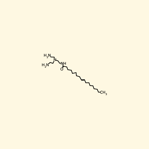 CCCCCCCCC=CCCCCCCCC(=O)NCCN(CCN)CCN